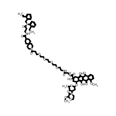 C=Cc1ccccc1CN(C(=O)CCNC(=O)C1CCC2(CC1)CCN(C(=O)CCOCCOCCOCCOCCNC(=O)CNC(=O)C1(O)Cc3c(O)c4c(c(O)c3C(OC3CC5C(OC6C(OC)OCCN56)C(C)O3)C1)C(=O)c1c(OC)cccc1C4=O)CC2)c1ccccc1CC